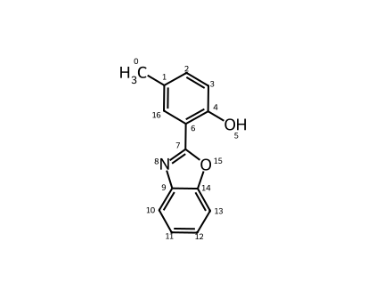 Cc1ccc(O)c(-c2nc3ccccc3o2)c1